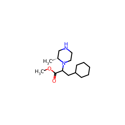 COC(=O)C(CC1CCCCC1)N1CCNC[C@H]1C